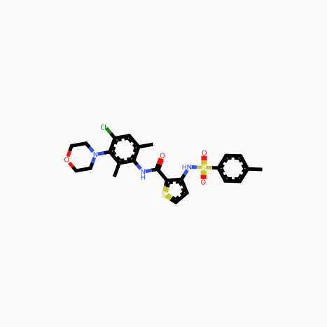 Cc1ccc(S(=O)(=O)Nc2ccsc2C(=O)Nc2c(C)cc(Cl)c(N3CCOCC3)c2C)cc1